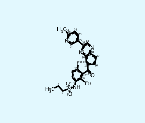 CCCS(=O)(=O)Nc1ccc(F)c(C(=O)c2ccc3ncc(-c4ccc(C)nc4)nc3c2)c1F